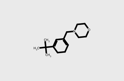 CC(C)(C)C1=CC(CN2CCOCC2)=CCC1